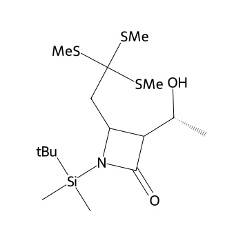 CSC(CC1C([C@@H](C)O)C(=O)N1[Si](C)(C)C(C)(C)C)(SC)SC